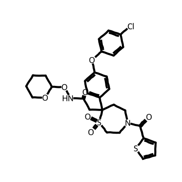 O=C(CC1(c2ccc(Oc3ccc(Cl)cc3)cc2)CCN(C(=O)c2cccs2)CCS1(=O)=O)NOC1CCCCO1